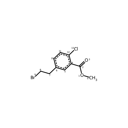 COC(=O)c1cc(CCBr)ccc1Cl